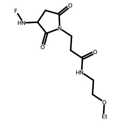 CCOCCNC(=O)CCN1C(=O)CC(NF)C1=O